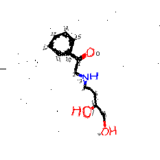 O=C(CNCCC(O)CO)c1ccccc1